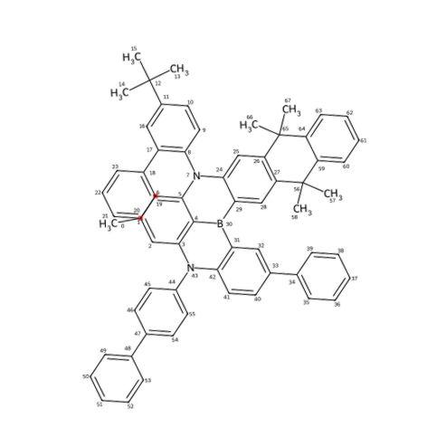 Cc1cc2c3c(c1)N(c1ccc(C(C)(C)C)cc1-c1ccccc1)c1cc4c(cc1B3c1cc(-c3ccccc3)ccc1N2c1ccc(-c2ccccc2)cc1)C(C)(C)c1ccccc1C4(C)C